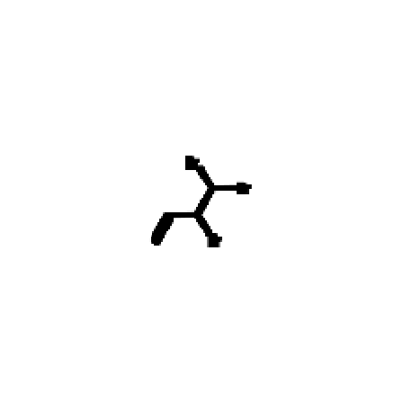 C=CC(Br)[C](Br)Br